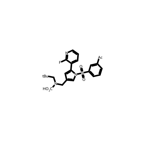 CC(=O)c1cccc(S(=O)(=O)n2cc(CN(CC(C)(C)C)C(=O)O)cc2-c2cccnc2F)c1